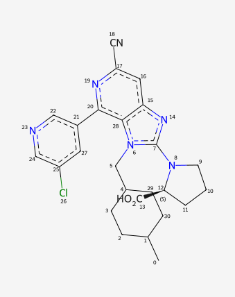 CC1CCC(Cn2c(N3CCC[C@H]3C(=O)O)nc3cc(C#N)nc(-c4cncc(Cl)c4)c32)CC1